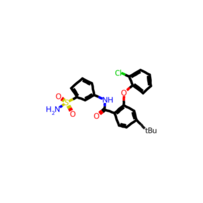 CC(C)(C)c1ccc(C(=O)Nc2cccc(S(N)(=O)=O)c2)c(Oc2ccccc2Cl)c1